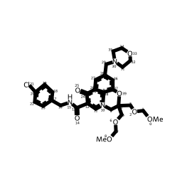 COCOCC1(COCOC)Cn2cc(C(=O)NCc3ccc(Cl)cc3)c(=O)c3cc(CN4CCOCC4)cc(c32)O1